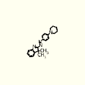 CC1(C)C(N=Nc2ccc(N3CCCCC3)cc2)=Nc2ccccc21